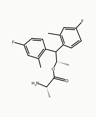 Cc1cc(F)ccc1C(c1ccc(F)cc1C)[C@H](C)OC(=O)[C@H](C)N